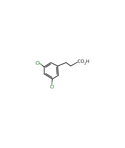 O=C(O)CCc1cc(Cl)[c]c(Cl)c1